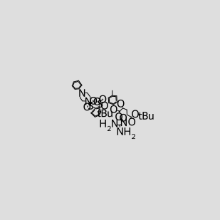 Cc1cc(OC(CC(ON=C(N)N)C(=O)OC(C)(C)C)C(=O)OC(C)(C)C)cc(OS(=O)(=O)c2ccccc2S(=O)(=O)N2CCN(c3ccccc3)CC2)c1